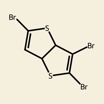 BrC1=CC2SC(Br)=C(Br)C2S1